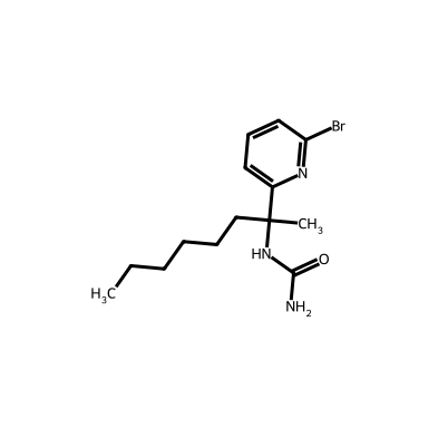 CCCCCCC(C)(NC(N)=O)c1cccc(Br)n1